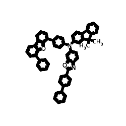 CC1(C)c2ccccc2-c2ccc(N(c3ccc(-c4cccc5c4oc4c(-c6ccccc6)cccc45)cc3)c3ccc4nc(-c5ccc(-c6ccccc6)cc5)oc4c3)cc21